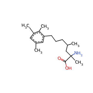 Cc1cc(C)c(C)c(CCCC(C)CC(C)(N)C(=O)O)c1